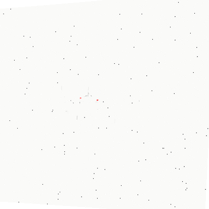 O=C(Cc1cccc(Cl)c1)N[C@H]1C[C@H]2CC[C@@H](C1)N2Cc1ccc(Cl)cc1